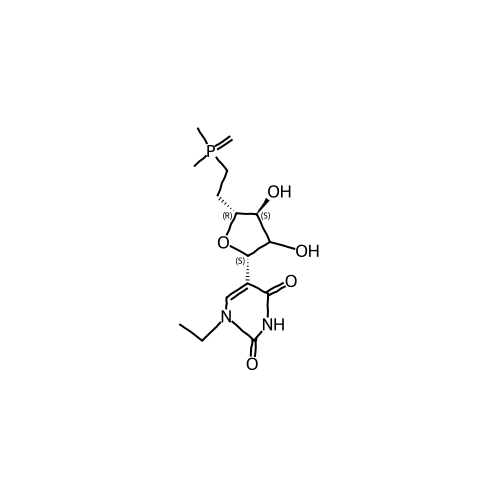 C=P(C)(C)CC[C@H]1O[C@@H](c2cn(CC)c(=O)[nH]c2=O)C(O)[C@@H]1O